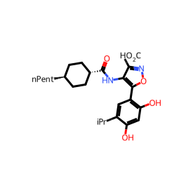 CCCCC[C@H]1CC[C@H](C(=O)Nc2c(C(=O)O)noc2-c2cc(C(C)C)c(O)cc2O)CC1